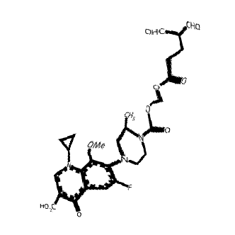 COc1c(N2CCN(C(=O)OCOC(=O)CCC(C=O)C=O)C(C)C2)c(F)cc2c(=O)c(C(=O)O)cn(C3CC3)c12